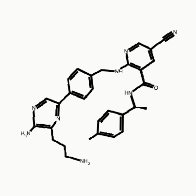 Cc1ccc([C@H](C)NC(=O)c2cc(C#N)cnc2NCc2ccc(-c3cnc(N)c(CCCN)n3)cc2)cc1